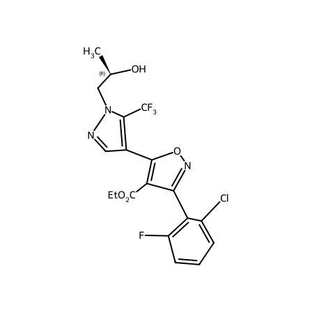 CCOC(=O)c1c(-c2c(F)cccc2Cl)noc1-c1cnn(C[C@@H](C)O)c1C(F)(F)F